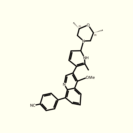 COc1c(C2=C(C)NC(N3C[C@@H](C)O[C@@H](C)C3)C=C2)cnc2c(-c3ccc(C#N)cc3)cccc12